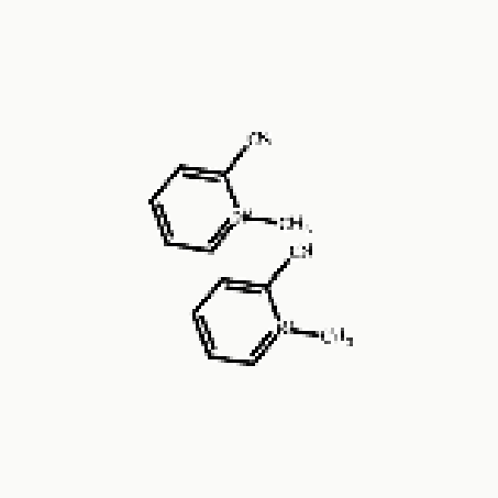 C[n+]1ccccc1C#N.C[n+]1ccccc1C#N